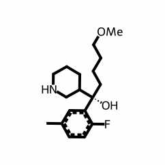 COCCCC[C@@](O)(c1cc(C)ccc1F)C1CCCNC1